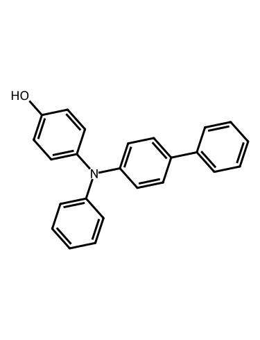 Oc1ccc(N(c2ccccc2)c2ccc(-c3ccccc3)cc2)cc1